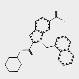 N=C(N)c1ccc2cc(C(=O)NC3CCCCC3)n(Cc3cccc4ccccc34)c2c1